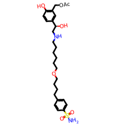 CC(=O)OCc1cc([C@@H](O)CNCCCCCCOCCCCc2ccc(S(N)(=O)=O)cc2)ccc1O